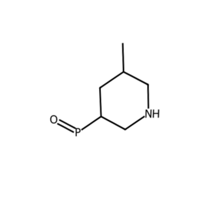 CC1CNCC(P=O)C1